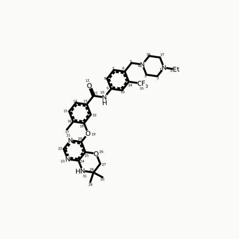 CCN1CCN(Cc2ccc(NC(=O)c3ccc(C)c(Oc4ncnc5c4OCC(C)(C)N5)c3)cc2C(F)(F)F)CC1